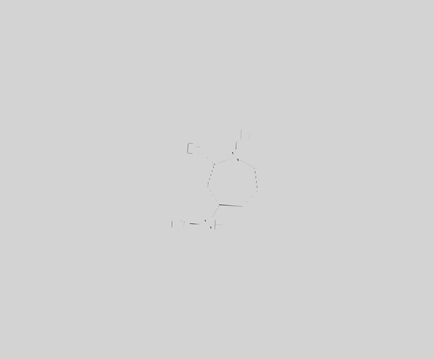 CCC1CC(NC(C)C)CCCN1C(C)C